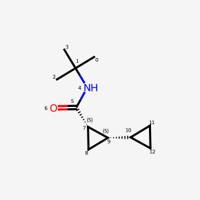 CC(C)(C)NC(=O)[C@H]1C[C@H]1C1CC1